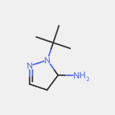 CC(C)(C)N1N=CCC1N